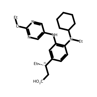 CCOc1ncc(Nc2cc([C@@H](CC)CC(=O)O)ccc2N(CC)C2CCCCC2)cn1